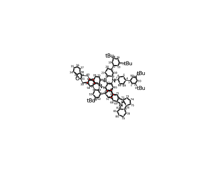 CC(C)(C)c1cc(-c2ccc(N3c4cc(-c5cc(C(C)(C)C)cc(C(C)(C)C)c5)ccc4B4c5ccc(C6C=Cc7oc8ccccc8c7C6)cc5N(c5c(-c6ccccc6)cc(C(C)(C)C)cc5-c5ccccc5)c5cc(-c6ccc7c(c6)c6cccc8c9ccccc9n7c86)cc3c54)cc2)cc(C(C)(C)C)c1